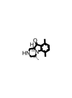 Cc1ccc(C)c2c1C(=O)[C@@H]1CNC[C@@H](C)N21